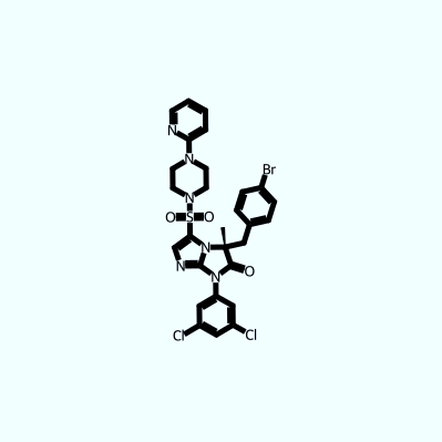 C[C@@]1(Cc2ccc(Br)cc2)C(=O)N(c2cc(Cl)cc(Cl)c2)c2ncc(S(=O)(=O)N3CCN(c4ccccn4)CC3)n21